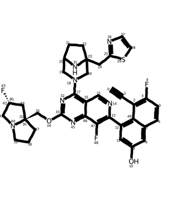 C#Cc1c(F)ccc2cc(O)cc(-c3ncc4c(N5CC6CCC(Cc7nccs7)(C5)N6)nc(OC[C@@]56CCCN5C[C@H](F)C6)nc4c3F)c12